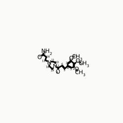 COc1cc(C=CC(=O)N2CCN(CCC(N)=O)CC2)cc(OC)c1OC